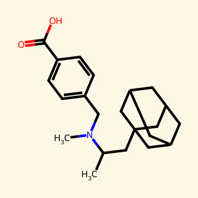 CC(CC12CC3CC(CC(C3)C1)C2)N(C)Cc1ccc(C(=O)O)cc1